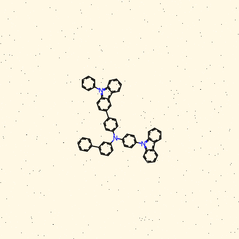 c1ccc(-c2cccc(N(c3ccc(-c4ccc5c(c4)c4ccccc4n5-c4ccccc4)cc3)c3ccc(-n4c5ccccc5c5ccccc54)cc3)c2)cc1